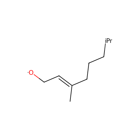 CC(=CC[O])CCCC(C)C